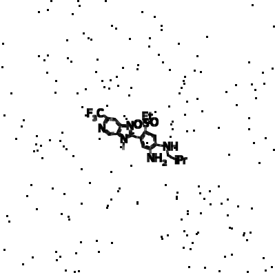 CCS(=O)(=O)c1cc(NCC(C)C)c(N)cc1-c1nc2cc(C(F)(F)F)ncc2n1C